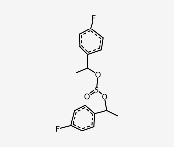 CC(OS(=O)OC(C)c1ccc(F)cc1)c1ccc(F)cc1